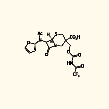 CC(=O)N(c1ccco1)C1C(=O)N2CC(COC(=O)NC(=O)C(F)(F)F)(C(=O)O)CS[C@H]12